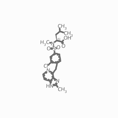 Cc1nc2c(Cc3ccc(S(=O)(=O)N(C)[C@@H](CC(C)C)C(=O)O)cc3Cl)nccc2[nH]1